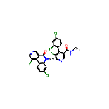 CNC(=O)c1cncc(F)c1-c1ccc(Cl)cc1F.Cn1c(=O)c2cncc(F)c2c2ccc(Cl)cc21